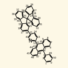 c1ccc(-c2c3ccccc3c(-c3ccc(-c4ccc5c(c4)C4(c6ccccc6-c6ccccc64)c4ccccc4-5)cn3)c3ccccc23)cc1